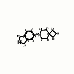 c1cc2c(cc1N1CCC3(CCC3)CC1)CNC2